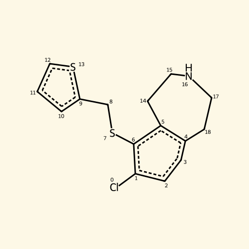 Clc1ccc2c(c1SCc1cccs1)CCNCC2